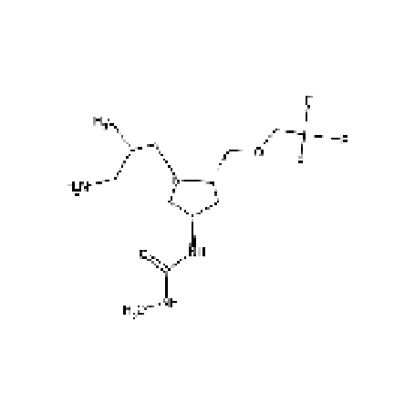 CNC(=O)N[C@@H]1C[C@@H](COCC(F)(F)F)N(C[C@@H](C)CN)C1